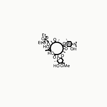 CCOP(=O)(CO[C@@H]1[C@@H](C)C(=O)[C@H](C)C[C@](C)(OC)[C@H](O[C@@H]2O[C@H](C)C[C@H](N(C)C)[C@H]2O)[C@@H](C)[C@H](O[C@H]2C[C@@](C)(OC)[C@@H](O)[C@H](C)O2)[C@@H](C)C(=O)O[C@@H]2C(C)[C@@]21O)OCC